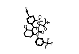 CN(C)C(=O)CN1C(=O)N(c2cccc(C(F)(F)F)c2)C2=C(C(=O)CCC2)C1c1ccc(C#N)cc1S(C)(=O)=O